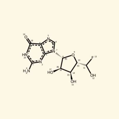 Nc1nc2c(ncn2[C@@H]2O[C@H](C(O)F)[C@@H](O)[C@H]2O)c(=O)[nH]1